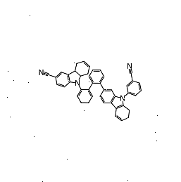 N#Cc1cccc(-n2c3c(c4ccc(-c5ccccc5C5=CCCC=C5N5c6ccc(C#N)cc6C6CC=CCC65)cc42)C=CCC3)c1